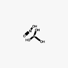 OB(O)O.[O]=[Al][OH]